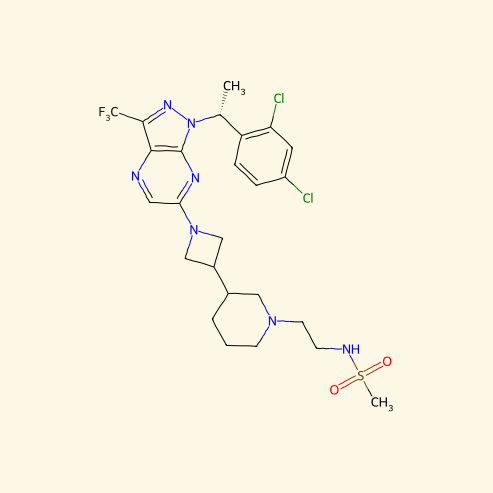 C[C@H](c1ccc(Cl)cc1Cl)n1nc(C(F)(F)F)c2ncc(N3CC(C4CCCN(CCNS(C)(=O)=O)C4)C3)nc21